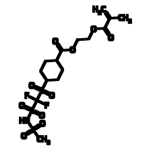 C=C(C)C(=O)OCCOC(=O)C1CCC(S(=O)(=O)C(F)(F)S(=O)(=O)NS(C)(=O)=O)CC1